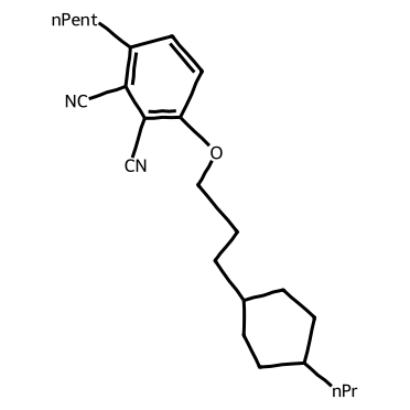 CCCCCc1ccc(OCCCC2CCC(CCC)CC2)c(C#N)c1C#N